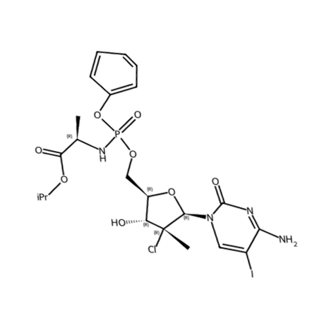 CC(C)OC(=O)[C@@H](C)NP(=O)(OC[C@H]1O[C@@H](n2cc(I)c(N)nc2=O)[C@](C)(Cl)[C@@H]1O)Oc1ccccc1